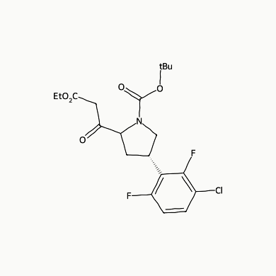 CCOC(=O)CC(=O)C1C[C@@H](c2c(F)ccc(Cl)c2F)CN1C(=O)OC(C)(C)C